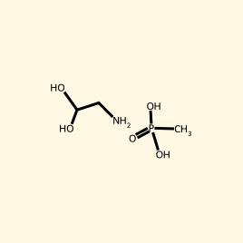 CP(=O)(O)O.NCC(O)O